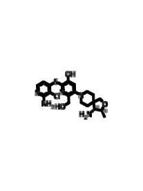 C[C@@H]1OCC2(CCN(c3cc(O)c(Sc4ccnc(N)c4Cl)nc3CO)CC2)[C@@H]1N